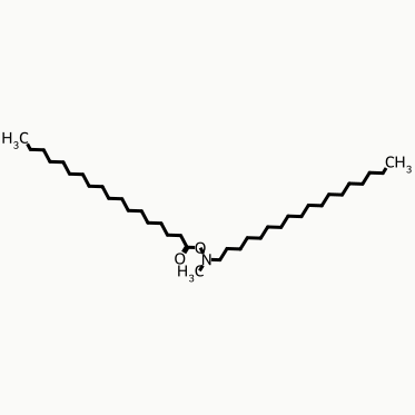 CCCCCCCCCCCCCCCCCCN(C)OC(=O)CCCCCCCCCCCCCCCCC